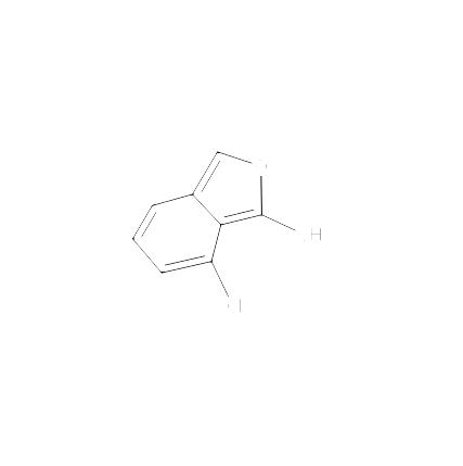 Cc1occ2cccc(Cl)c12